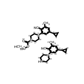 Cc1cc(C2CC2)cc(N2CCN(C(=O)OC(C)(C)C)CC2)c1C#N.Cc1cc(C2CC2)cc(N2CCNCC2)c1C#N.Cl